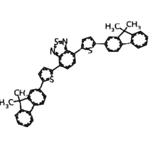 CC1(C)c2ccccc2-c2ccc(-c3ccc(-c4ccc(-c5ccc(-c6ccc7c(c6)C(C)(C)c6ccccc6-7)s5)c5nsnc45)s3)cc21